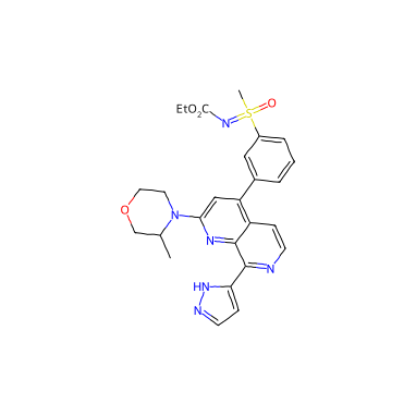 CCOC(=O)N=S(C)(=O)c1cccc(-c2cc(N3CCOCC3C)nc3c(-c4ccn[nH]4)nccc23)c1